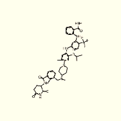 CNC(=O)c1ccccc1Nc1cc(Nc2cc(C)c(N3CCC(N(C)Cc4cccc5c4CN(C4CCC(=O)NC4=O)C5=O)CC3)cc2OC(C)C)ncc1C(F)(F)F